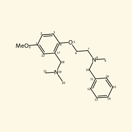 COc1ccc(OCCN(C)Cc2ccccc2)c(CN(C)C)c1